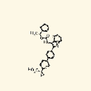 C[C@@H](OC(=O)Nc1c(-c2ccc(-c3ccc(C4(C(=O)O)CC4)cc3)cc2)nn2cccnc12)c1ccccc1